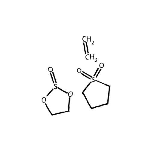 C=C.O=S1(=O)CCCC1.O=S1OCCO1